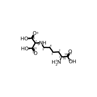 N[C@@H](CCCCNC(C(=O)O)C(=O)O)C(=O)O